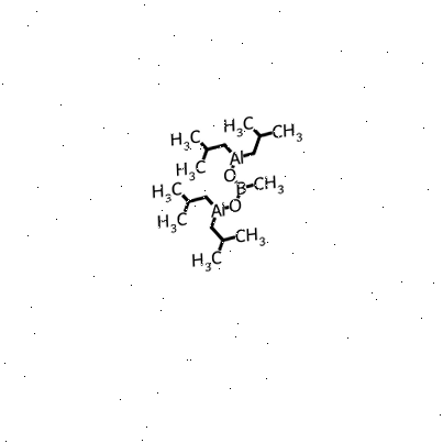 CB([O][Al]([CH2]C(C)C)[CH2]C(C)C)[O][Al]([CH2]C(C)C)[CH2]C(C)C